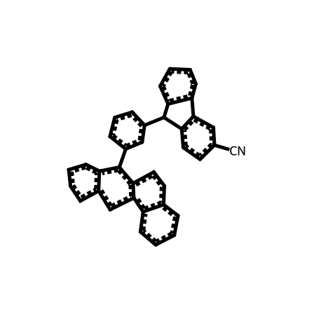 N#Cc1ccc2c(c1)-c1ccccc1C2c1cccc(-c2c3ccccc3cc3c2ccc2ccccc23)c1